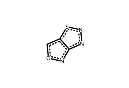 c1onc2nnsc12